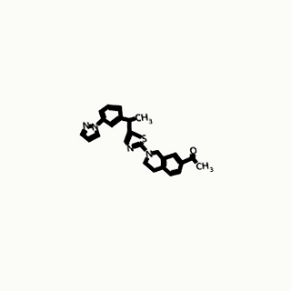 CC(=O)c1ccc2c(c1)CN(c1ncc(C(C)c3cccc(-n4cccn4)c3)s1)CC2